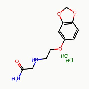 Cl.Cl.NC(=O)CNCCOc1ccc2c(c1)OCO2